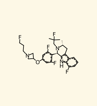 C[C@@H]1Cc2c([nH]c3c(F)cccc23)[C@@H](c2c(F)cc(OC3CN(CCCF)C3)cc2F)N1CC(C)(C)F